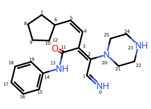 N=C/C(=C(/C=C\C1CCCC1)C(=O)Nc1ccccc1)N1CCNCC1